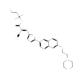 CC(C)(CCO)NC(=O)/C(C#N)=C/c1ccc(-c2ccc3cc(NCCN4CCOCC4)ccc3c2)o1